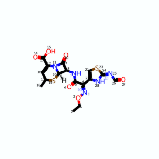 CCO/N=C(\C(=O)NC1C(=O)N2C(C(=O)O)=CC(C)S[C@H]12)c1cs/c(=N/C=O)[nH]1